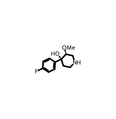 CO[C@H]1CNCC[C@]1(O)c1ccc(F)cc1